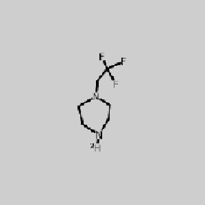 [2H]N1CCN(CC(F)(F)F)CC1